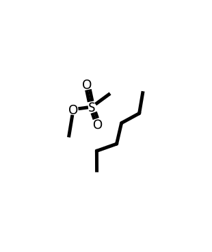 CCCCCC.COS(C)(=O)=O